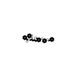 O=C(OCC(CCCc1ccc(Oc2cccc(OCc3ccccc3)c2)cc1Cl)Nc1ccccc1)c1ccccc1